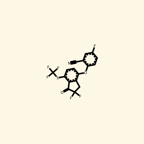 N#Cc1cc(F)ccc1Oc1ccc(SC(F)(F)F)c2c1CC(F)(F)C2=O